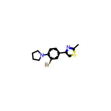 Cc1nc(-c2ccc(N3CCCC3)c(Br)c2)cs1